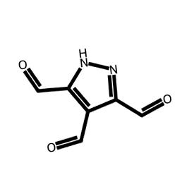 O=Cc1n[nH]c(C=O)c1C=O